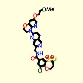 COCCOc1cnc2c(c1)OCCN2c1ccc2cnc(CNC(=O)c3cc(Cl)c4c(c3)S(=O)(=O)[C@@H](F)CCO4)cc2n1